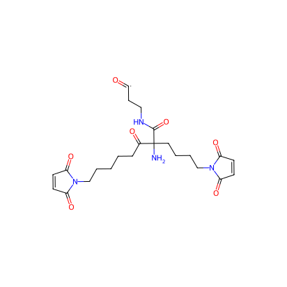 NC(CCCCN1C(=O)C=CC1=O)(C(=O)CCCCCN1C(=O)C=CC1=O)C(=O)NCC[C]=O